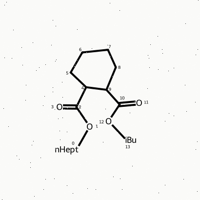 CCCCCCCOC(=O)C1CCCCC1C(=O)OC(C)CC